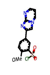 COc1ccc(-c2cn3cccnc3n2)cc1S(=O)(=O)Cl